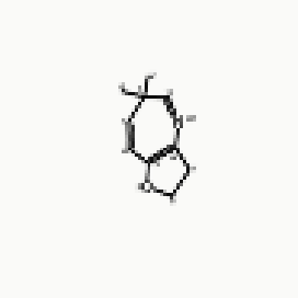 CC1(C)C=CC2=C(CCO2)N=C1